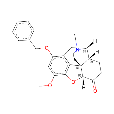 COc1cc(OCc2ccccc2)c2c3c1O[C@H]1C(=O)CC[C@H]4[C@@H](C2)N(C)CC[C@]314